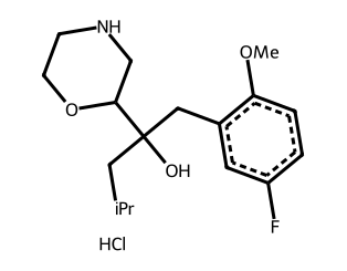 COc1ccc(F)cc1CC(O)(CC(C)C)C1CNCCO1.Cl